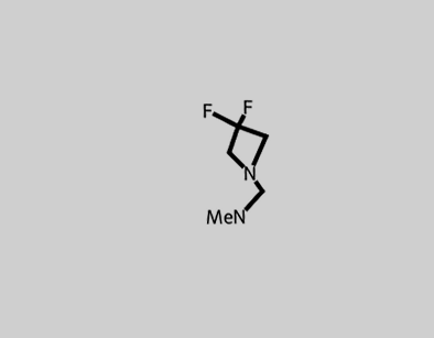 CNCN1CC(F)(F)C1